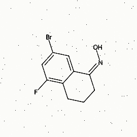 O/N=C1/CCCc2c(F)cc(Br)cc21